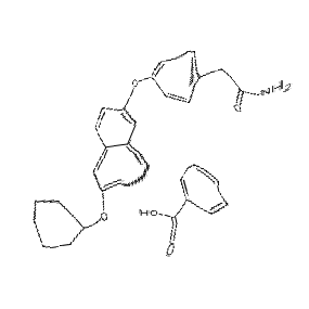 NC(=O)Cc1ccc(Oc2ccc3cc(OC4CCCCC4)ccc3c2)cc1.O=C(O)c1ccccc1